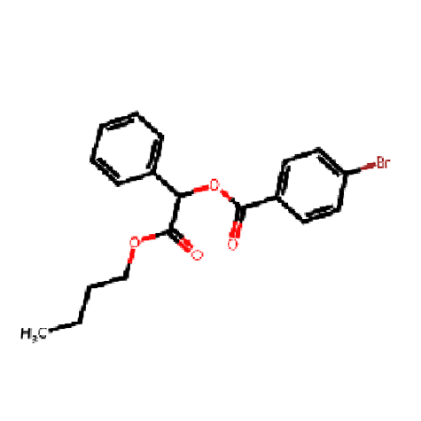 CCCCOC(=O)C(OC(=O)c1ccc(Br)cc1)c1ccccc1